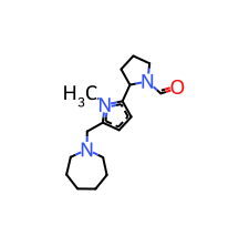 Cn1c(CN2CCCCCC2)ccc1C1CCCN1C=O